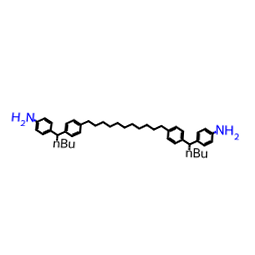 CCCCC(c1ccc(N)cc1)c1ccc(CCCCCCCCCCCc2ccc(C(CCCC)c3ccc(N)cc3)cc2)cc1